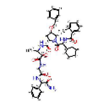 CCCC(NC(=O)[C@@H]1C[C@@H](OCc2ccccc2)CN1C(=O)C(NC(=O)c1ccccc1C(F)(F)F)C1CCCCC1)C(=O)C(=O)NCC(=O)NC(C(N)=O)c1ccccc1